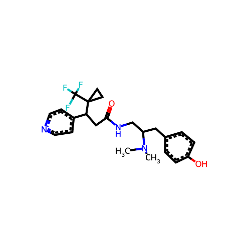 CN(C)C(CNC(=O)CC(c1ccncc1)C1(C(F)(F)F)CC1)Cc1ccc(O)cc1